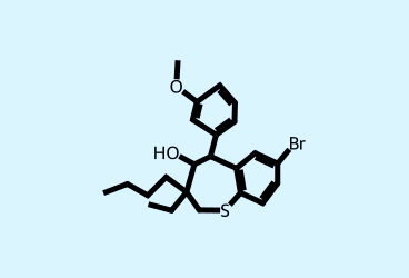 CCCCC1(CC)CSc2ccc(Br)cc2C(c2cccc(OC)c2)C1O